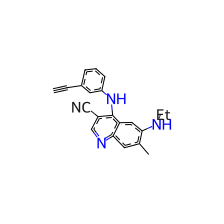 C#Cc1cccc(Nc2c(C#N)cnc3cc(C)c(NCC)cc23)c1